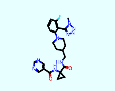 Cn1nnnc1-c1c(F)cccc1N1CCC(CNC(=O)C2(NC(=O)c3cncnc3)CC2)CC1